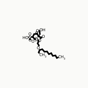 CCCCCCCCCC(CC)OCCCN1C(=O)C(S(=O)(=O)O)CC(=O)[C@]1(CC(=O)O)C(=O)O